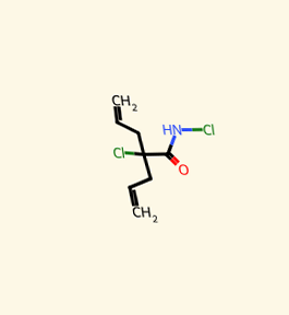 C=CCC(Cl)(CC=C)C(=O)NCl